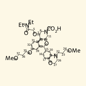 CCN(CC)C(=O)CO[C@@H]1CN(C(=O)O)C[C@H](OCc2ccc3c(c2)N(CCCOC)CCO3)[C@H]1c1ccc(OCCCOC)cc1